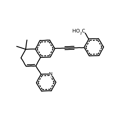 CC1(C)CC=C(c2ccccn2)c2cc(C#Cc3ccccc3C(=O)O)ccc21